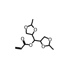 C=CC(=O)OC(C1COC(C)O1)C1COC(C)O1